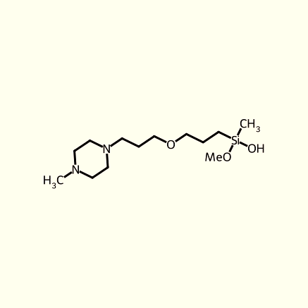 CO[Si](C)(O)CCCOCCCN1CCN(C)CC1